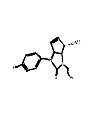 CO[C@H]1C=CC2C1N(CC(C)C)C(=O)N2c1ccc(F)cc1